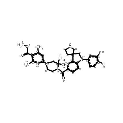 COC(=O)c1c(C)cc(N2CCN(C(=O)c3ccc4c(n3)C3(CCOC3)CN4c3ccc(Cl)c(F)c3)C(C)(C)C2)nc1C